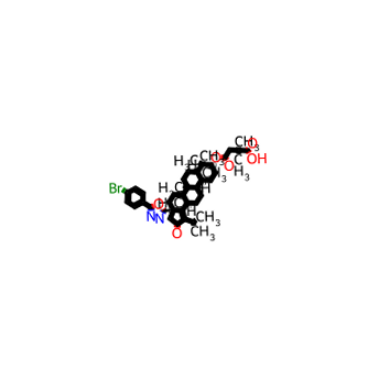 CC(C)C1=C2[C@H]3CC[C@@H]4[C@@]5(C)CC[C@H](OC(=O)CC(C)(C)C(=O)O)C(C)(C)[C@@H]5CC[C@@]4(C)[C@]3(C)CC[C@@]2(c2nnc(-c3ccc(Br)cc3)o2)CC1=O